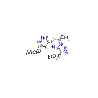 CCOC(=O)c1ncn2c(C)cc(-c3cncc(OC)c3)nc12